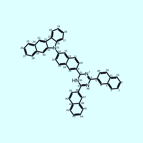 c1ccc2cc(C3=NC(c4ccc5cc(-n6c7ccccc7c7cc8ccccc8cc76)ccc5c4)NC(c4ccc5ccccc5c4)=N3)ccc2c1